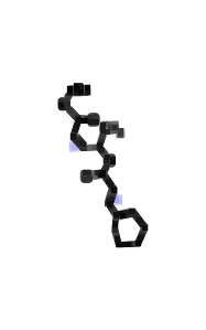 CCCCOC(=O)/C=C\C(C)OC(=O)/C=C/C1=CCCCC1